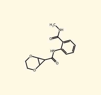 CNC(=O)c1ccccc1NC(=O)C1C2OCCOC21